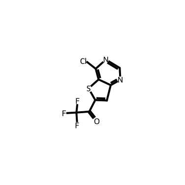 O=C(c1cc2ncnc(Cl)c2s1)C(F)(F)F